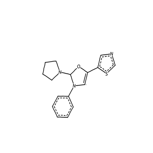 [C]1=C(c2cncs2)OC(N2CCCC2)N1c1ccccc1